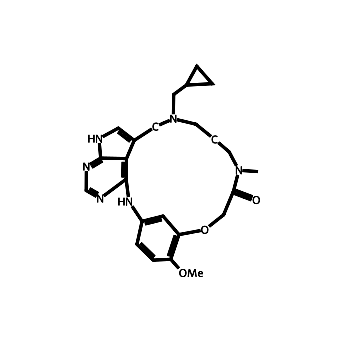 COc1ccc2cc1OCC(=O)N(C)CCCN(CC1CC1)Cc1c[nH]c3ncnc(c13)N2